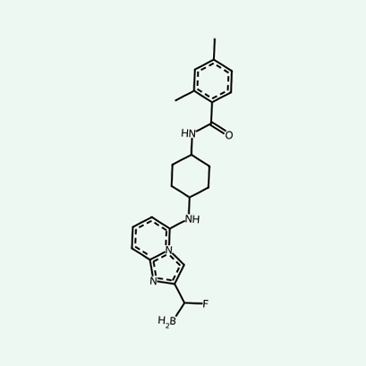 BC(F)c1cn2c(NC3CCC(NC(=O)c4ccc(C)cc4C)CC3)cccc2n1